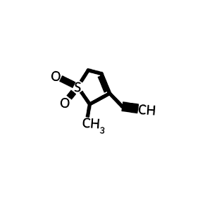 C#CC1=CCS(=O)(=O)C1C